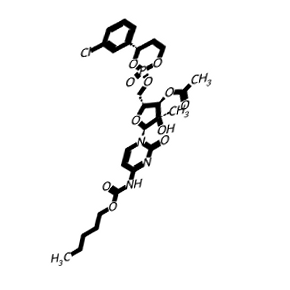 CCCCCOC(=O)Nc1ccn([C@@H]2O[C@H](COP3(=O)OCC[C@@H](c4cccc(Cl)c4)O3)[C@@H](OC(C)=O)[C@@]2(C)O)c(=O)n1